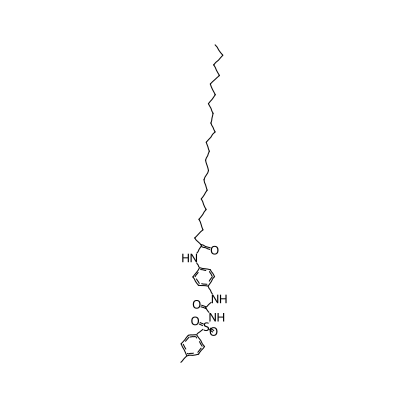 CCCCCCCCCCCCCCCCCCCCCC(=O)Nc1ccc(NC(=O)NS(=O)(=O)c2ccc(C)cc2)cc1